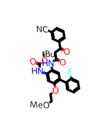 COCCOc1cc(NC(=O)OC(C)(C)C)c(NC(=O)CC(=O)c2cccc(C#N)c2)cc1-c1ccccc1F